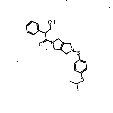 O=C(C(CO)c1ccccc1)N1CC2=C(CN(Sc3ccc(OC(F)F)cc3)C2)C1